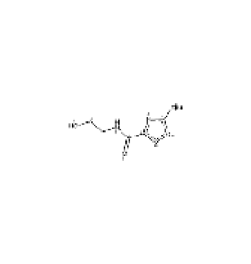 CC(C)(C)c1nc(C(=O)NCCO)co1